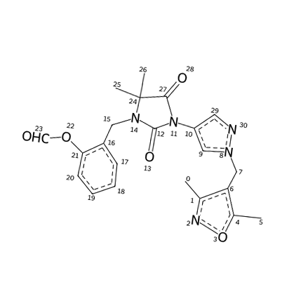 Cc1noc(C)c1Cn1cc(N2C(=O)N(Cc3ccccc3OC=O)C(C)(C)C2=O)cn1